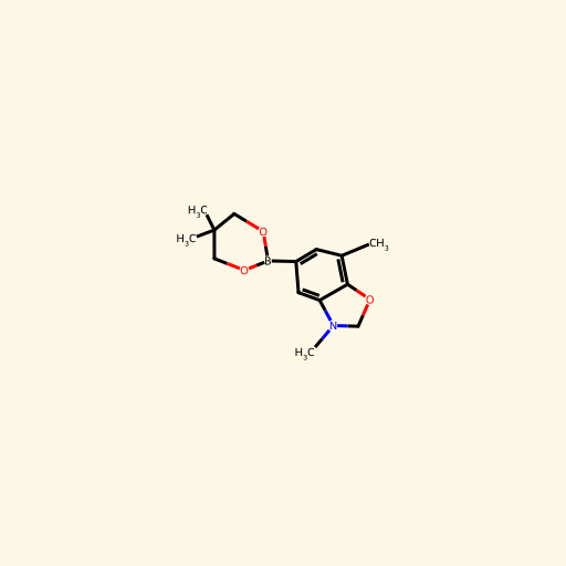 Cc1cc(B2OCC(C)(C)CO2)cc2c1OCN2C